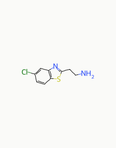 NCCc1nc2cc(Cl)ccc2s1